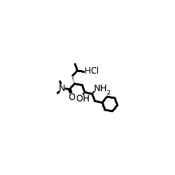 CC(C)C[C@H](C[C@H](O)[C@@H](N)CC1CCCCC1)C(=O)N(C)C.Cl